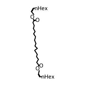 CCCCCC/C=C\COC(=O)CCCCCCCCCCCCCCCC(=O)OC/C=C\CCCCCC